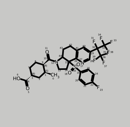 C[C@H]1C[C@H](C(=O)O)CC[C@H]1C(=O)N1CCC2(S(=O)(=O)c3ccc(F)cc3)c3ncc(C(F)(C(F)(F)F)C(F)(F)F)cc3CCC12